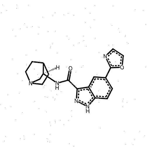 O=C(N[C@H]1CN2CCC1CC2)c1n[nH]c2ccc(-c3ncco3)cc12